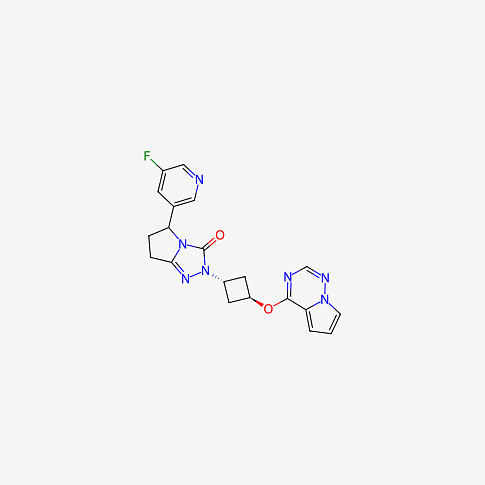 O=c1n2c(nn1[C@H]1C[C@H](Oc3ncnn4cccc34)C1)CCC2c1cncc(F)c1